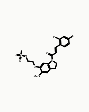 COc1cc2c(cc1OCCOS(C)(=O)=O)N(C(=O)C=Cc1ccc(Cl)cc1Cl)CC2